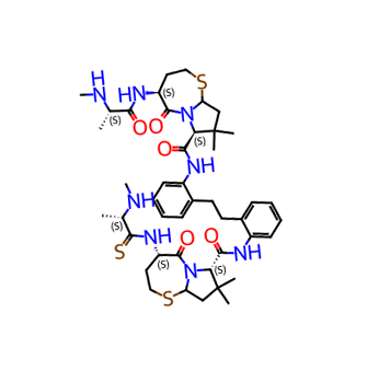 CN[C@@H](C)C(=O)N[C@H]1CCSC2CC(C)(C)[C@@H](C(=O)Nc3ccccc3CCc3ccccc3NC(=O)[C@H]3N4C(=O)[C@@H](NC(=S)[C@H](C)NC)CCSC4CC3(C)C)N2C1=O